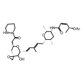 CC(=O)O[C@@H](C)/C=C\C(=O)N[C@@H]1C[C@H](C)[C@H](C/C=C(C)/C=C/[C@H]2O[C@H](CC(=O)N3CCCCN3)C[C@@]3(CO3)[C@@H]2O)O[C@@H]1C